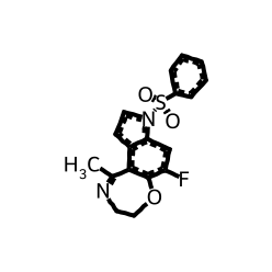 CC1=NCCOc2c(F)cc3c(ccn3S(=O)(=O)c3ccccc3)c21